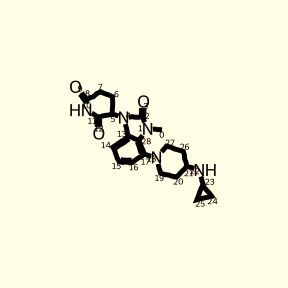 Cn1c(=O)n(C2CCC(=O)NC2=O)c2cccc(N3CCC(NC4CC4)CC3)c21